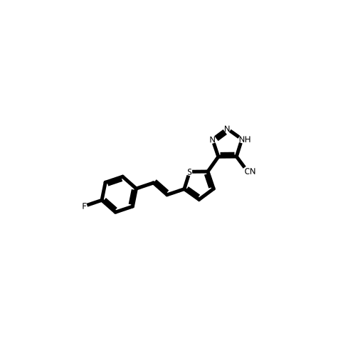 N#Cc1[nH]nnc1-c1ccc(/C=C/c2ccc(F)cc2)s1